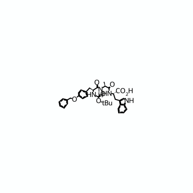 C[C@H](NC(=O)[C@H](Cc1ccc(OCc2ccccc2)cc1)NC(=O)OC(C)(C)C)C(=O)N[C@@H](Cc1c[nH]c2ccccc12)C(=O)O